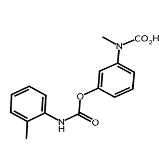 Cc1ccccc1NC(=O)Oc1cccc(N(C)C(=O)O)c1